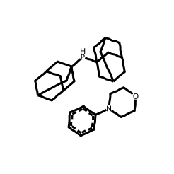 C1C2CC3CC1CC(PC14CC5CC(CC(C5)C1)C4)(C2)C3.c1ccc(N2CCOCC2)cc1